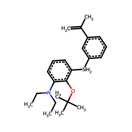 C=C(C)c1cccc([SiH2]c2cccc(N(CC)CC)c2OC(C)(C)C)c1